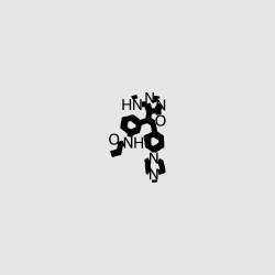 C=CC(=O)Nc1cccc(-c2c(-c3ccc(N4CCN(C)CC4)cc3)oc3ncnc(NC)c23)c1